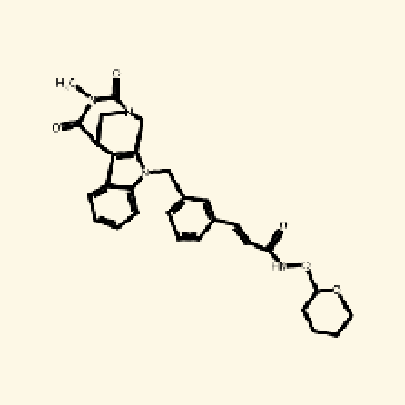 CN1C(=O)C2CN(Cc3c2c2ccccc2n3Cc2cccc(/C=C/C(=O)NOC3CCCCO3)c2)C1=O